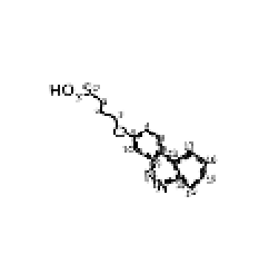 O=S(=O)(O)CCCOc1ccc2c(c1)nnc1ccccc12